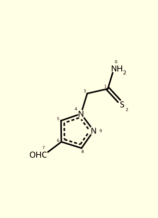 NC(=S)Cn1cc(C=O)cn1